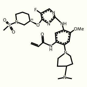 C=CC(=O)Nc1cc(Nc2ncc(F)c(O[C@@H]3CCCN(S(C)(=O)=O)C3)n2)c(OC)cc1N1CCC(N(C)C)CC1